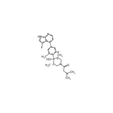 Cc1cc(-c2ccnc3[nH]cc(F)c23)cc(F)c1C1(O)[C@H](C)CN(C(=O)CN(C)C)C[C@@H]1C